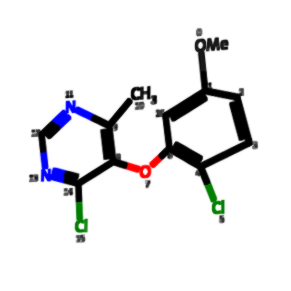 COc1ccc(Cl)c(Oc2c(C)n[c]nc2Cl)c1